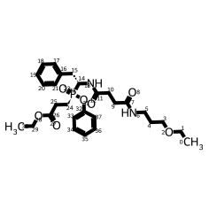 CCOCCCNC(=O)CCC(=O)N[C@@H](Cc1ccccc1)[P@@](=O)(CCC(=O)OCC)Oc1ccccc1